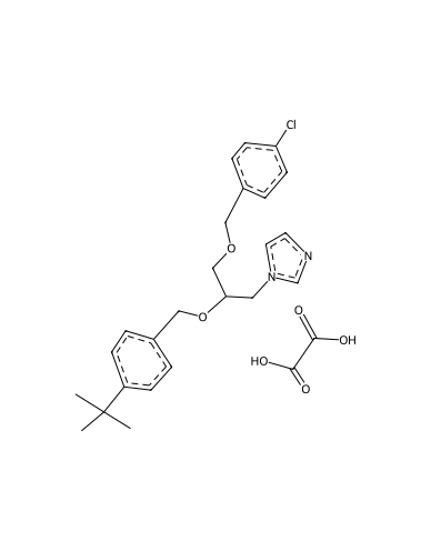 CC(C)(C)c1ccc(COC(COCc2ccc(Cl)cc2)Cn2ccnc2)cc1.O=C(O)C(=O)O